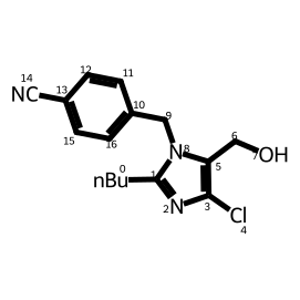 CCCCc1nc(Cl)c(CO)n1Cc1ccc(C#N)cc1